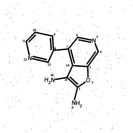 Nc1oc2cncc(-c3cccnc3)c2c1N